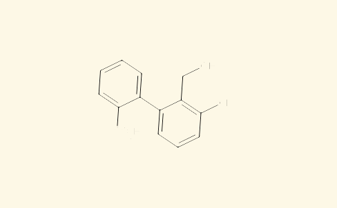 Cc1cccc(-c2ccccc2C(=O)O)c1CO